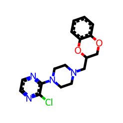 Clc1nccnc1N1CCN(CC2COc3ccccc3O2)CC1